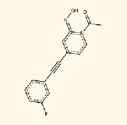 CC(=O)n1ccc(C#Cc2cccc(F)c2)c/c1=N/O